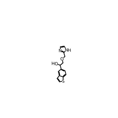 OC(COCc1ncc[nH]1)c1ccc2sccc2c1